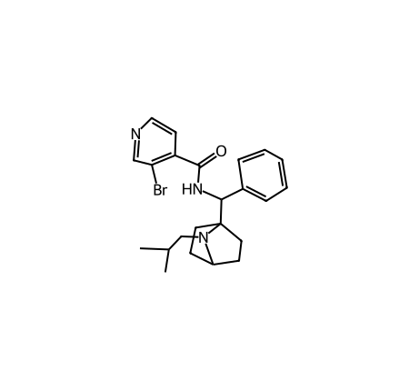 CC(C)CN1C2CCC1(C(NC(=O)c1ccncc1Br)c1ccccc1)CC2